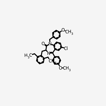 CCc1cccc(CC)c1CC1N=C(c2ccc(OC)cc2)c2cc(Cl)ccc2N(Cc2ccc(OC)cc2)C1=O